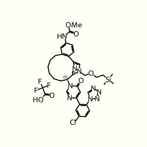 COC(=O)Nc1ccc2c(c1)CCCCCC[C@H](n1cnc(-c3cc(Cl)ccc3-n3cnnn3)cc1=O)c1nc-2cn1COCC[Si](C)(C)C.O=C(O)C(F)(F)F